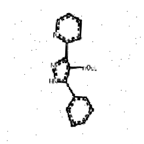 CCCCCCCCc1c(-c2ccccn2)n[nH]c1-c1ccccc1